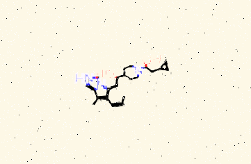 C/C=C\C1=C(C)C2=CNCN2C1CC(O)C1CCN(C(O)CC2CC2)CC1